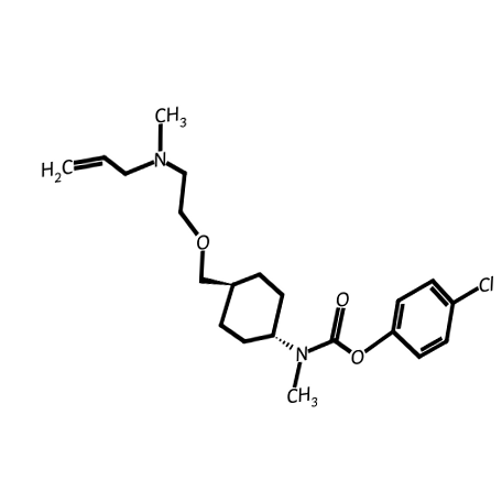 C=CCN(C)CCOC[C@H]1CC[C@H](N(C)C(=O)Oc2ccc(Cl)cc2)CC1